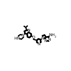 CC(C)c1cc(N2CCNCC2)c2ccc(OCc3cncc(-n4ccc5c(N)ncnc54)c3)cc2n1